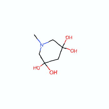 CN1CC(O)(O)CC(O)(O)C1